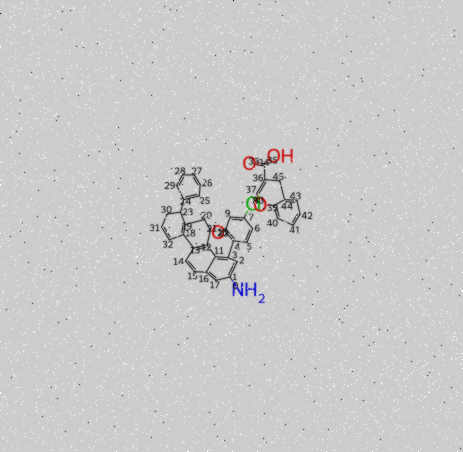 Nc1cc(-c2ccc(Cl)cc2)c2c3c(ccc2c1)C1=C(CC3=O)C(c2ccccc2)CC=C1.O=C(O)C1=COc2ccccc2C1